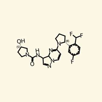 O=C(NC1C=NN2C=CC(N3CCC[C@@H]3c3cc(F)ccc3C(F)F)=NC12)N1CC[C@H](O)C1